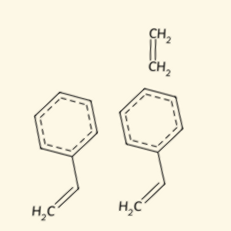 C=C.C=Cc1ccccc1.C=Cc1ccccc1